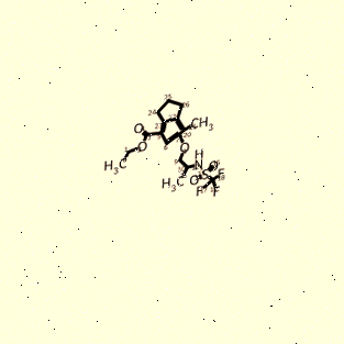 CCOC(=O)c1cc(OCC(C)NS(=O)(=O)C(F)(F)F)c(C)c2c1CCC2